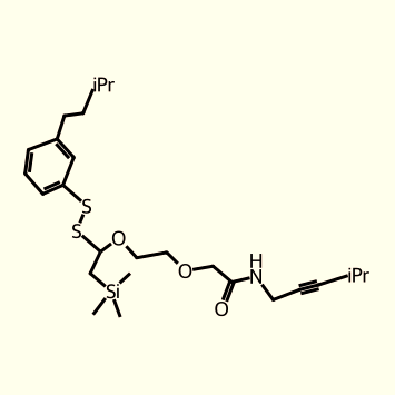 CC(C)C#CCNC(=O)COCCOC(C[Si](C)(C)C)SSc1cccc(CCC(C)C)c1